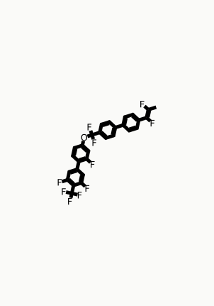 C/C(F)=C(\F)c1ccc(-c2ccc(C(F)(F)Oc3ccc(-c4cc(F)c(C(F)(F)F)c(F)c4)c(F)c3)cc2)cc1